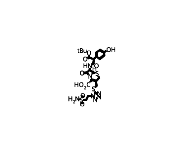 CC(C)(C)OC(=O)C(C(=O)NC1C(=O)N2C(C(=O)O)=C(CSc3nnnn3CCS(N)(=O)=O)CS[C@H]12)c1ccc(O)cc1